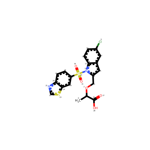 CC(OCc1cc2cc(Cl)ccc2n1S(=O)(=O)c1ccc2ncsc2c1)C(=O)O